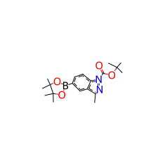 Cc1nn(C(=O)OC(C)(C)C)c2ccc(B3OC(C)(C)C(C)(C)O3)cc12